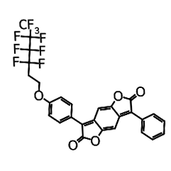 O=C1Oc2cc3c(cc2=C1c1ccccc1)OC(=O)C=3c1ccc(OCCC(F)(F)C(F)(F)C(F)(F)C(F)(F)F)cc1